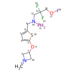 CN1CC(Oc2ccc(CN(P)CC(F)(F)COI)s2)C1